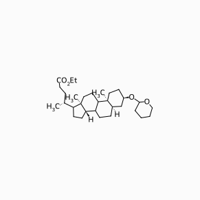 CCOC(=O)CC[C@@H](C)C1CC[C@H]2C3CC[C@@H]4C[C@H](OC5CCCCO5)CC[C@]4(C)C3CC[C@]12C